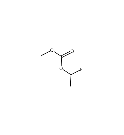 COC(=O)OC(C)F